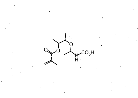 C=C(C)C(=O)OC(C)C(C)OC(C)NC(=O)O